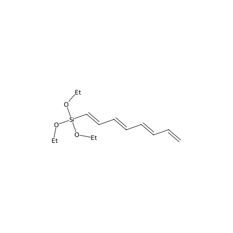 C=CC=CC=CC=C[Si](OCC)(OCC)OCC